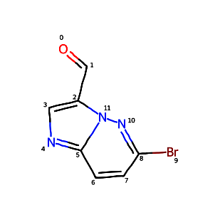 O=Cc1cnc2ccc(Br)nn12